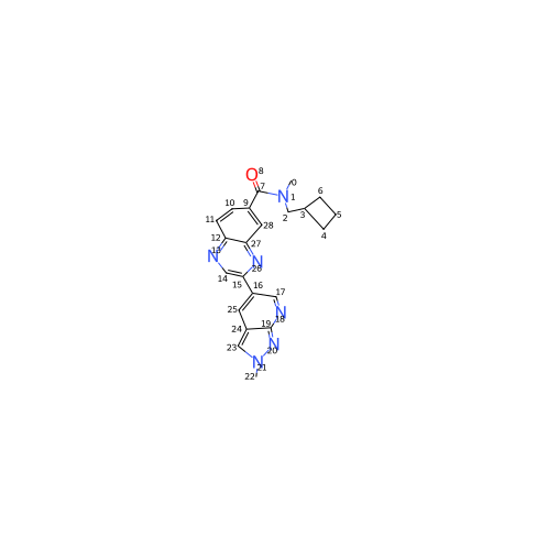 CN(CC1CCC1)C(=O)c1ccc2ncc(-c3cnc4nn(C)cc4c3)nc2c1